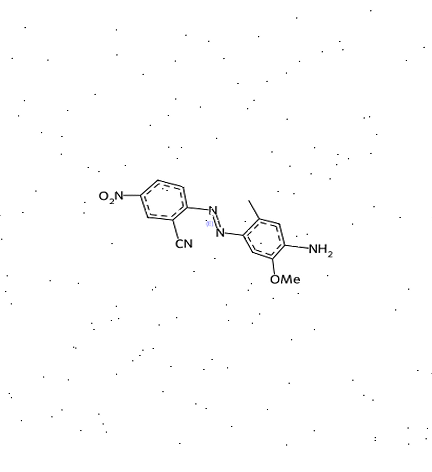 COc1cc(/N=N/c2ccc([N+](=O)[O-])cc2C#N)c(C)cc1N